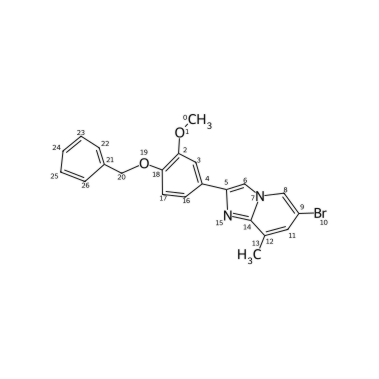 COc1cc(-c2cn3cc(Br)cc(C)c3n2)ccc1OCc1ccccc1